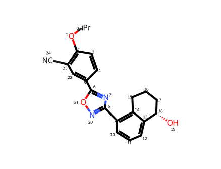 CC(C)Oc1ccc(-c2nc(-c3cccc4c3CCC[C@@H]4O)no2)cc1C#N